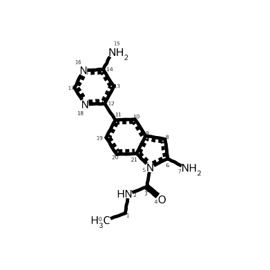 CCNC(=O)n1c(N)cc2cc(-c3cc(N)ncn3)ccc21